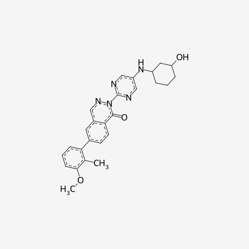 COc1cccc(-c2ccc3c(=O)n(-c4ncc(NC5CCCC(O)C5)cn4)ncc3c2)c1C